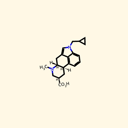 CN1C[C@H](C(=O)O)C[C@@H]2c3cccc4c3c(cn4CC3CC3)C[C@H]21